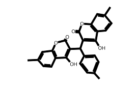 Cc1ccc(C(c2c(O)c3ccc(C)cc3oc2=O)c2c(O)c3ccc(C)cc3oc2=O)cc1